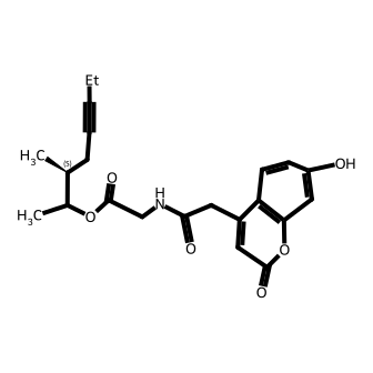 CCC#CC[C@H](C)C(C)OC(=O)CNC(=O)Cc1cc(=O)oc2cc(O)ccc12